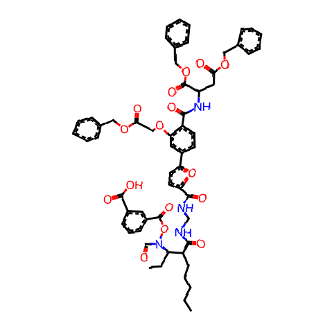 CCCCCC(C(=O)NCNC(=O)c1ccc(-c2ccc(C(=O)NC(CC(=O)OCc3ccccc3)C(=O)OCc3ccccc3)c(OCC(=O)OCc3ccccc3)c2)o1)C(CC)N(C=O)OC(=O)c1cccc(C(=O)O)c1